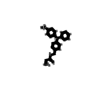 C=CC(=O)OCc1ccc(N(c2ccccc2)c2ccc(C)cc2)cc1